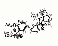 COc1ncc(-c2ccc3nc(N)n(CC4(N(C)C)CCOCC4)c3c2)cc1S(=O)(=O)NC(C)(C)C